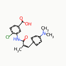 CC(=Cc1ccc(N(C)C)cc1)C(=O)Nc1cc(C(=O)O)ccc1Cl